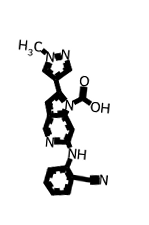 Cn1cc(-c2cc3cnc(Nc4ccccc4C#N)cc3n2C(=O)O)cn1